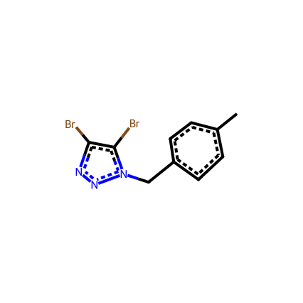 Cc1ccc(Cn2nnc(Br)c2Br)cc1